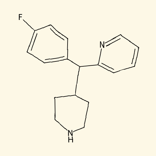 Fc1ccc(C(c2ccccn2)C2CCNCC2)cc1